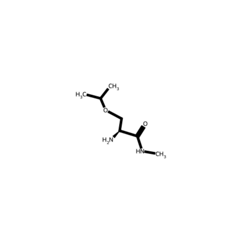 CNC(=O)[C@@H](N)COC(C)C